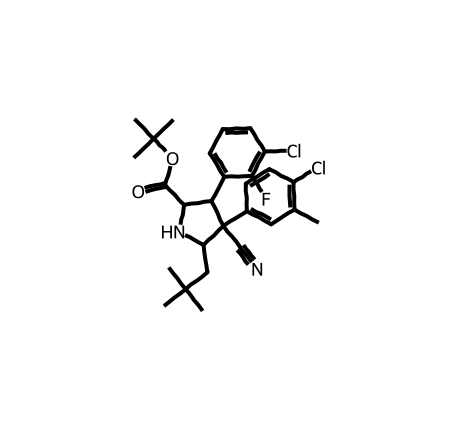 Cc1cc(C2(C#N)C(CC(C)(C)C)NC(C(=O)OC(C)(C)C)C2c2cccc(Cl)c2F)ccc1Cl